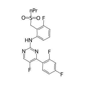 CCCS(=O)(=O)Cc1c(F)cccc1Nc1ncc(F)c(-c2ccc(F)cc2F)n1